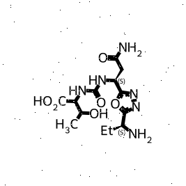 CC[C@H](N)c1nnc([C@H](CC(N)=O)NC(=O)NC(C(=O)O)C(C)O)o1